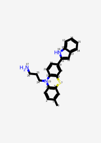 Cc1ccc2c(c1)Sc1cc(-c3cc4ccccc4[nH]3)ccc1N2CCCN